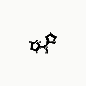 IP(c1cccs1)c1cccs1